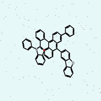 c1ccc(-c2ccc3c(-c4ccccc4-c4nc5ccccc5n4-c4ccccc4)c4ccccc4c(-c4ccc5oc6ccccc6c5c4)c3c2)cc1